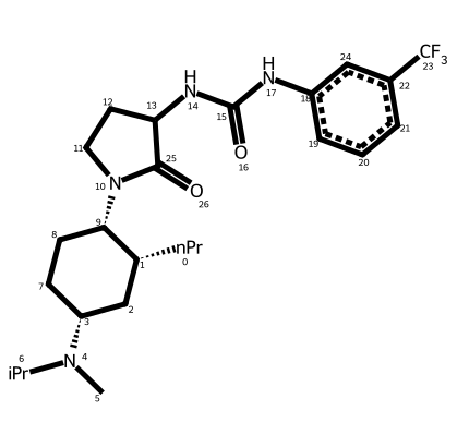 CCC[C@@H]1C[C@H](N(C)C(C)C)CC[C@@H]1N1CCC(NC(=O)Nc2cccc(C(F)(F)F)c2)C1=O